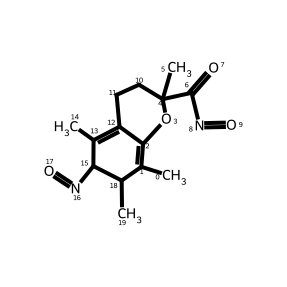 CC1=C2OC(C)(C(=O)N=O)CCC2=C(C)C(N=O)C1C